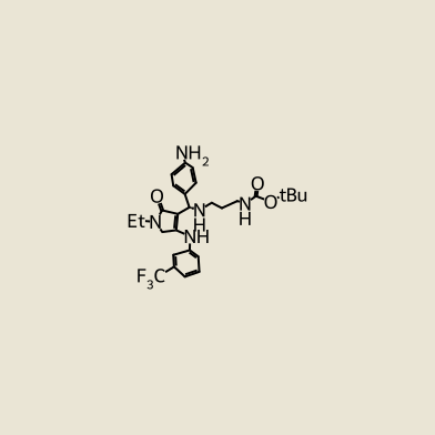 CCN1CC(Nc2cccc(C(F)(F)F)c2)=C([C@H](NCCCNC(=O)OC(C)(C)C)c2ccc(N)cc2)C1=O